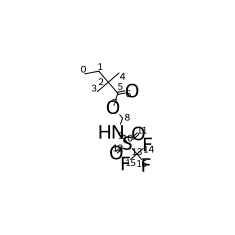 CCC(C)(C)C(=O)OCNS(=O)(=O)C(F)(F)F